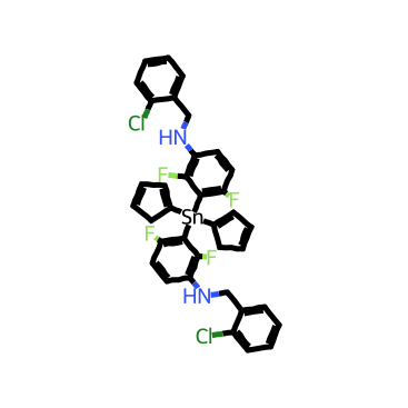 Fc1ccc(NCc2ccccc2Cl)c(F)[c]1[Sn]([C]1=CC=CC1)([C]1=CC=CC1)[c]1c(F)ccc(NCc2ccccc2Cl)c1F